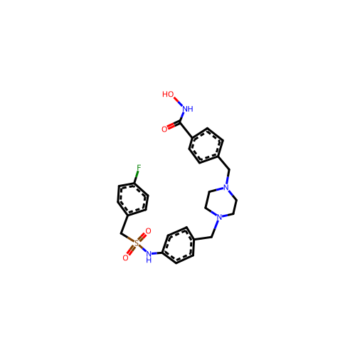 O=C(NO)c1ccc(CN2CCN(Cc3ccc(NS(=O)(=O)Cc4ccc(F)cc4)cc3)CC2)cc1